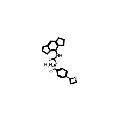 NS(=O)(=NC(=O)Nc1c2c(cc3c1CCC3)CCC2)c1ccc([C@@H]2CCN2)cc1